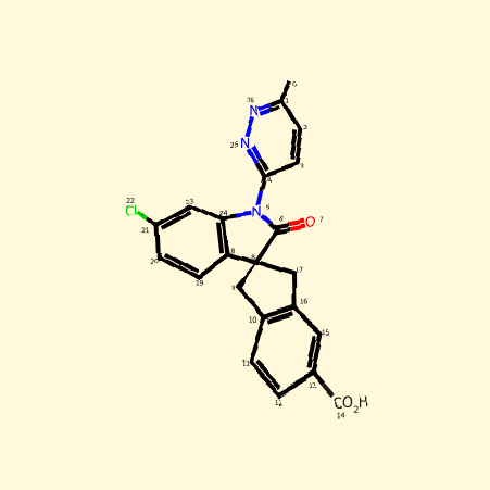 Cc1ccc(N2C(=O)[C@@]3(Cc4ccc(C(=O)O)cc4C3)c3ccc(Cl)cc32)nn1